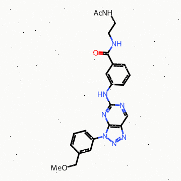 COCc1cccc(-n2nnc3cnc(Nc4cccc(C(=O)NCCNC(C)=O)c4)nc32)c1